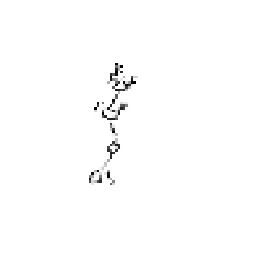 CCCCCc1ccc(C#Cc2cc(F)c(C#Cc3cc(F)c(CF)c(F)c3)c(F)c2)cc1